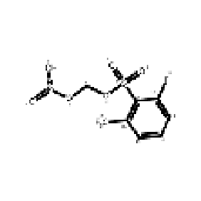 O=[PH](O)OCOS(=O)(=O)c1c(F)cccc1C(F)(F)F